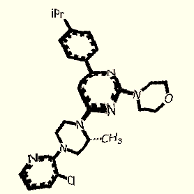 CC(C)c1ccc(-c2cc(N3CCN(c4ncccc4Cl)C[C@H]3C)nc(N3CCOCC3)n2)cc1